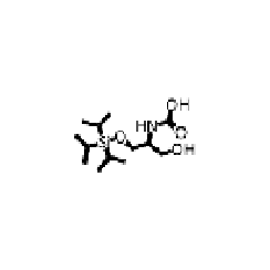 CC(C)[Si](OCC(CO)NC(=O)O)(C(C)C)C(C)C